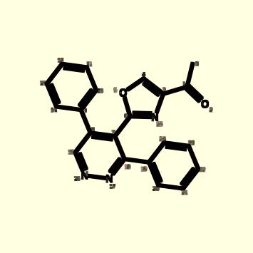 CC(=O)c1coc(-c2c(-c3ccccc3)cnnc2-c2ccccc2)n1